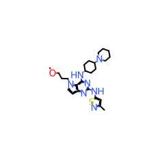 COCCCn1ccc2nc(Nc3cc(C)ns3)nc(N[C@H]3CC[C@H](N4CCCCC4)CC3)c21